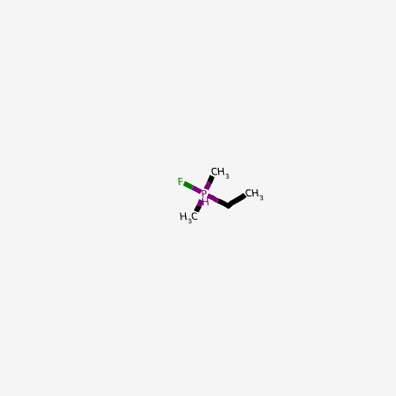 CC[PH](C)(C)F